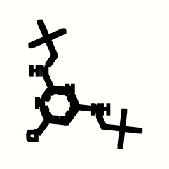 CC(C)(C)CNc1cc(Cl)nc(NCC(C)(C)C)n1